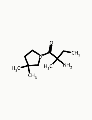 CCC(C)(N)C(=O)N1CCC(C)(C)C1